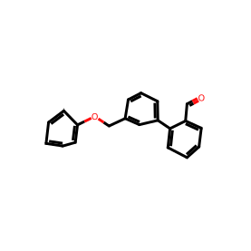 O=Cc1ccccc1-c1cccc(COc2[c]cccc2)c1